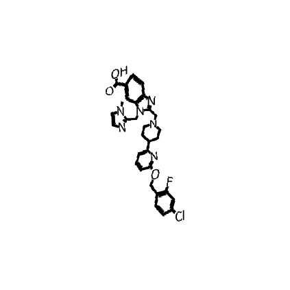 Cn1ccnc1Cn1c(CN2CCC(c3cccc(OCc4ccc(Cl)cc4F)n3)CC2)nc2ccc(C(=O)O)cc21